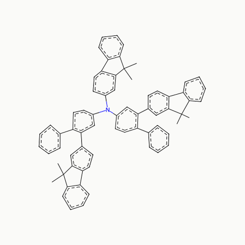 CC1(C)c2ccccc2-c2ccc(-c3cc(N(c4ccc(-c5ccccc5)c(-c5ccc6c(c5)C(C)(C)c5ccccc5-6)c4)c4ccc5c(c4)C(C)(C)c4ccccc4-5)ccc3-c3ccccc3)cc21